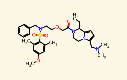 CCC1c2ccc(CN(C)C)n2CCN1C(=O)COCCN(Cc1ccccc1)S(=O)(=O)c1c(C)cc(OC)cc1C